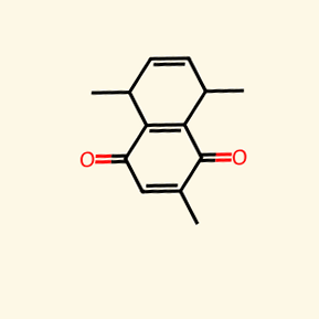 CC1=CC(=O)C2=C(C1=O)C(C)C=CC2C